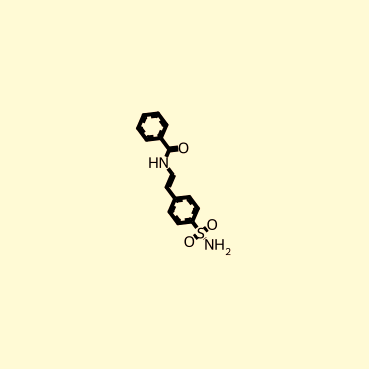 NS(=O)(=O)c1ccc(C=CNC(=O)c2ccccc2)cc1